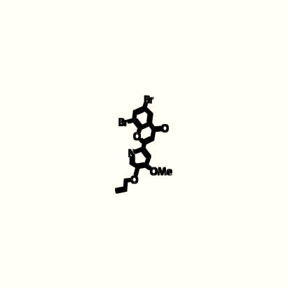 C=CCOc1cnc(-c2cc(=O)c3cc(Br)cc(Br)c3o2)cc1OC